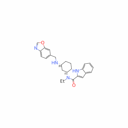 CCN(C(=O)c1cc2ccccc2[nH]1)[C@H]1CCC[C@@H](NCc2ccc3ncoc3c2)C1